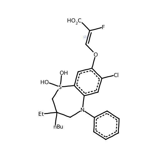 CCCCC1(CC)CN(c2ccccc2)c2cc(Cl)c(O/C=C(\F)C(=O)O)cc2S(O)(O)C1